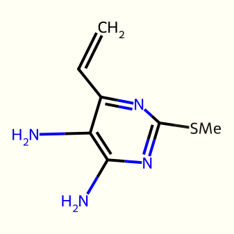 C=Cc1nc(SC)nc(N)c1N